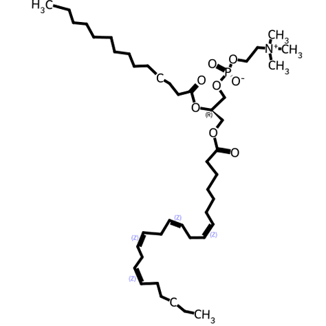 CCCCC/C=C\C/C=C\C/C=C\C/C=C\CCCCCC(=O)OC[C@H](COP(=O)([O-])OCC[N+](C)(C)C)OC(=O)CCCCCCCCCCCCC